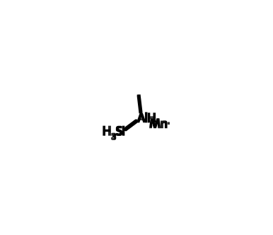 [CH3][AlH][SiH3].[Mn]